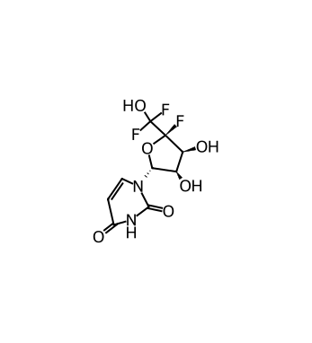 O=c1ccn([C@@H]2O[C@](F)(C(O)(F)F)[C@@H](O)[C@H]2O)c(=O)[nH]1